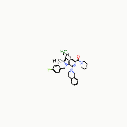 Cc1c(C)n(Cc2ccc(F)cc2)c2c(N3CCc4ccccc4C3)nc(C(=O)N3CCCCC3)cc12.Cl